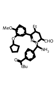 CCC1CC(C=O)N(C(N)c2ccc(C(=O)C(C)(C)C)cc2)N=C1c1ccc(OC)c(OC2CCCC2)c1